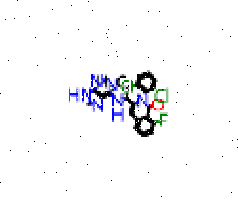 CC[C@@H](Nc1ncnc2[nH]cnc12)c1cc2cccc(F)c2c(=O)n1-c1c(Cl)cccc1Cl